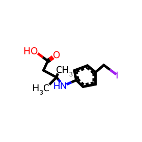 CC(C)(CC(=O)O)Nc1ccc(CI)cc1